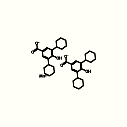 O=C([O-])c1cc(C2CCCCC2)c(O)c(C2CCCCC2)c1.O=C([O-])c1cc(C2CCCCC2)c(O)c(C2CCCCC2)c1.[Mn+2]